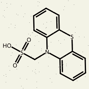 O=S(=O)(O)CN1c2ccccc2Sc2ccccc21